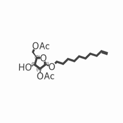 C=CCCCCCCCCO[C@@H]1O[C@H](COC(C)=O)[C@@H](O)[C@H]1OC(C)=O